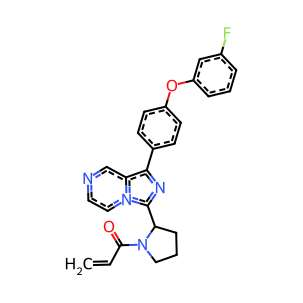 C=CC(=O)N1CCCC1c1nc(-c2ccc(Oc3cccc(F)c3)cc2)c2cnccn12